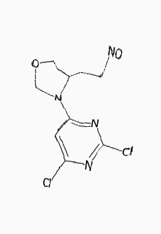 O=NCC1COCN1c1cc(Cl)nc(Cl)n1